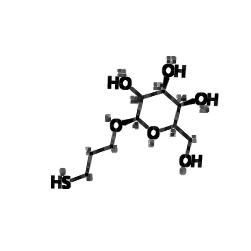 OCC1O[C@@H](OCCCS)C(O)[C@@H](O)[C@H]1O